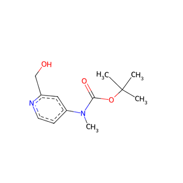 CN(C(=O)OC(C)(C)C)c1ccnc(CO)c1